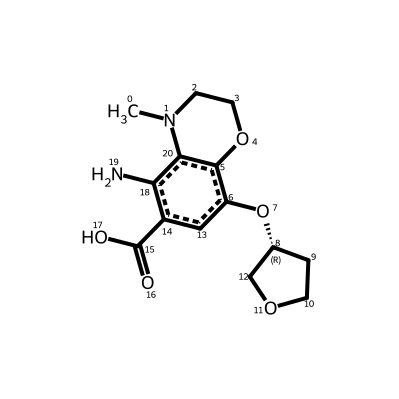 CN1CCOc2c(O[C@@H]3CCOC3)cc(C(=O)O)c(N)c21